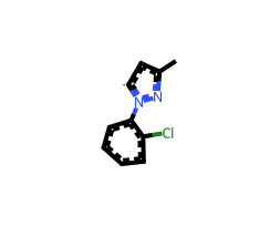 Cc1c[c]n(-c2ccccc2Cl)n1